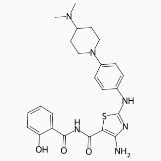 CN(C)C1CCN(c2ccc(Nc3nc(N)c(C(=O)NC(=O)c4ccccc4O)s3)cc2)CC1